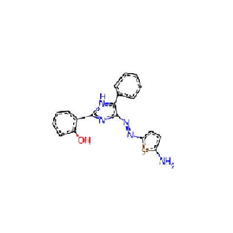 Nc1ccc(N=Nc2nc(-c3ccccc3O)[nH]c2-c2ccccc2)s1